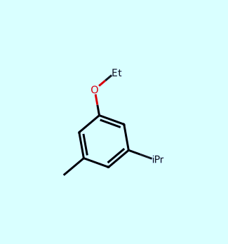 [CH2]C(C)c1cc(C)cc(OCC)c1